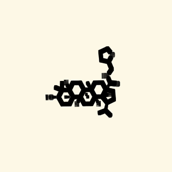 CC(C)[C@@H]1CC[C@]2(C(=O)NCC3CCCO3)CC[C@]3(C)[C@H](CC[C@@H]4[C@@]5(C)CC[C@H](O)C(C)(C)[C@@H]5CC[C@]43C)[C@@H]12